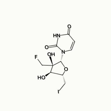 O=c1ccn([C@@H]2O[C@H](CI)[C@@H](O)[C@]2(O)CF)c(=O)[nH]1